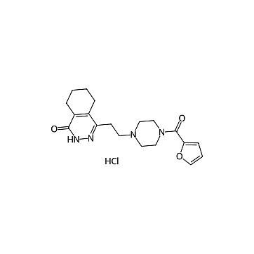 Cl.O=C(c1ccco1)N1CCN(CCc2n[nH]c(=O)c3c2CCCC3)CC1